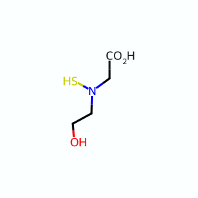 O=C(O)CN(S)CCO